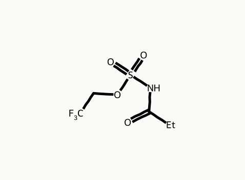 CCC(=O)NS(=O)(=O)OCC(F)(F)F